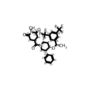 C[C@@H](O[C@H]1CCN(C(=O)C2CC(=O)N(C)C(=O)C2)C[C@H]1c1ccccc1)c1cc(C(F)(F)F)cc(C(F)(F)F)c1